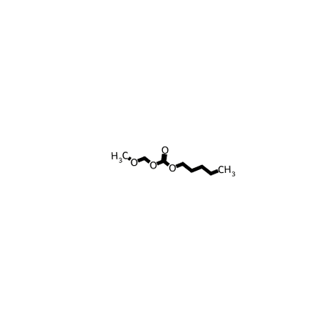 CCCCCOC(=O)OCOC